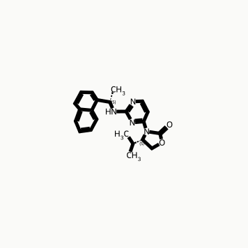 CC(C)[C@H]1COC(=O)N1c1ccnc(N[C@@H](C)c2cccc3ccccc23)n1